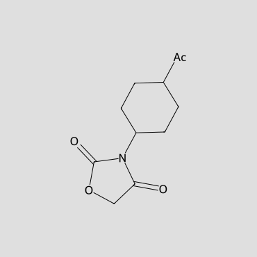 CC(=O)C1CCC(N2C(=O)COC2=O)CC1